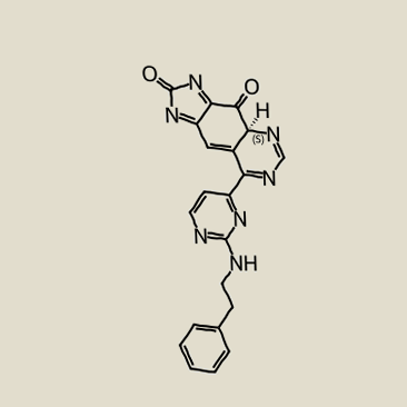 O=C1N=C2C=C3C(c4ccnc(NCCc5ccccc5)n4)=NC=N[C@@H]3C(=O)C2=N1